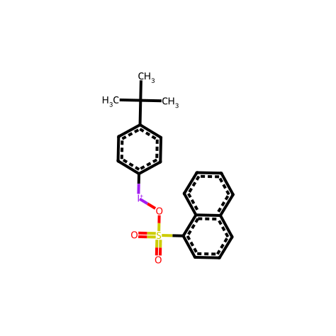 CC(C)(C)c1ccc([I+]OS(=O)(=O)c2cccc3ccccc23)cc1